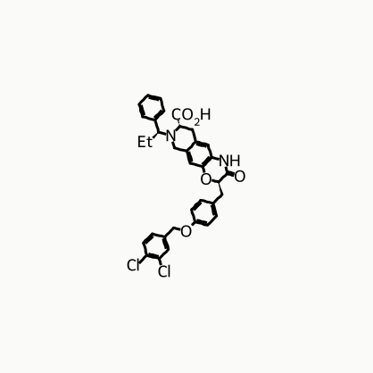 CC[C@@H](c1ccccc1)N1Cc2cc3c(cc2C[C@H]1C(=O)O)NC(=O)[C@@H](Cc1ccc(OCc2ccc(Cl)c(Cl)c2)cc1)O3